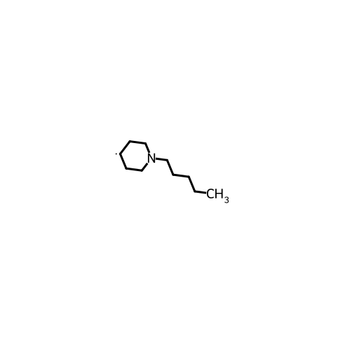 CCCCCN1CC[CH]CC1